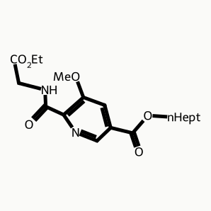 CCCCCCCOC(=O)c1cnc(C(=O)NCC(=O)OCC)c(OC)c1